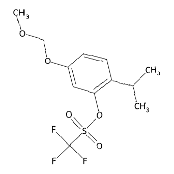 COCOc1ccc(C(C)C)c(OS(=O)(=O)C(F)(F)F)c1